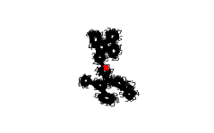 c1ccc(-c2cc(-c3ccccc3)cc(N(c3ccc(-c4ccc5c(c4)c(-c4ccccc4)c(-c4ccccc4)c4ccccc45)cc3)c3ccc4sc5ccccc5c4c3)c2)cc1